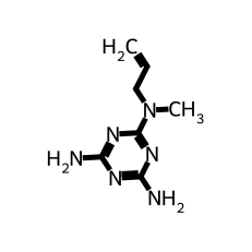 C=CCN(C)c1nc(N)nc(N)n1